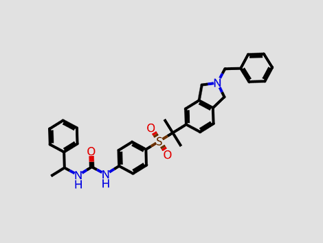 CC(NC(=O)Nc1ccc(S(=O)(=O)C(C)(C)c2ccc3c(c2)CN(Cc2ccccc2)C3)cc1)c1ccccc1